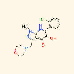 Cn1nc(CN2CCOCC2)c2c(=O)c(O)c(-c3ccccc3Cl)[nH]c21